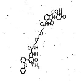 Cn1cc(-c2ccccc2Oc2ccccc2)c2cc(C(=O)NCCOCCOCCC(=O)Nc3cccc4c3C(=O)N(C3CCC(=O)NC3=O)C4=O)[nH]c2c1=O